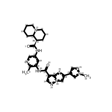 Cc1ncc(NC(=O)[C@@H]2CCCN3CCCCC23)cc1NC(=O)c1cnn2cc(-c3cnn(C)c3)sc12